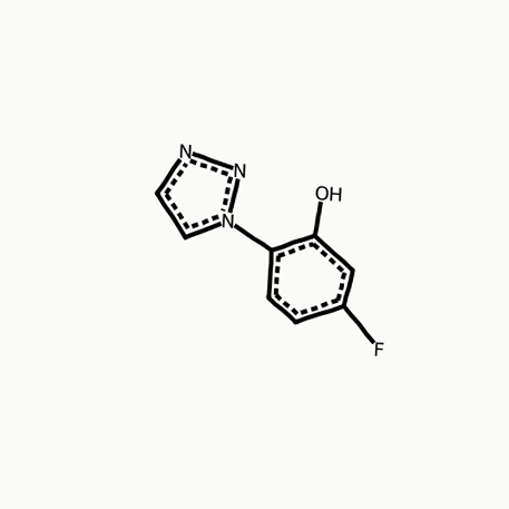 Oc1cc(F)ccc1-n1ccnn1